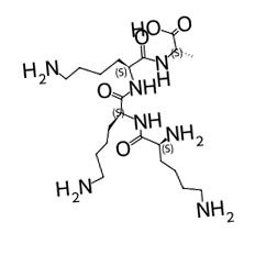 C[C@H](NC(=O)[C@H](CCCCN)NC(=O)[C@H](CCCCN)NC(=O)[C@@H](N)CCCCN)C(=O)O